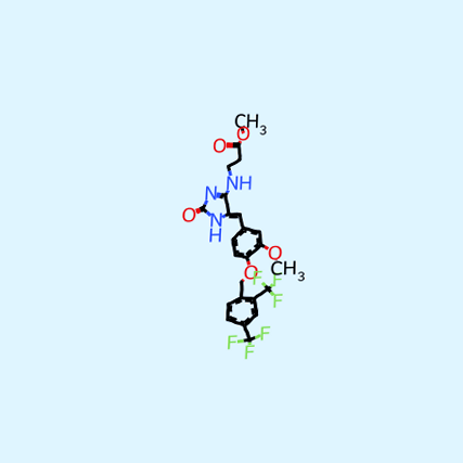 COC(=O)CCNC1=NC(=O)N/C1=C\c1ccc(OCc2ccc(C(F)(F)F)cc2C(F)(F)F)c(OC)c1